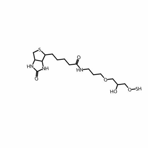 O=C(CCCCC1SCC2NC(=O)NC21)NCCCOCC(O)COS